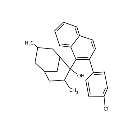 CC1CC2CC(C)C(O)(c3c(-c4ccc(Cl)cc4)ccc4ccccc34)C(C1)C2